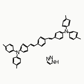 Cc1ccc(N(c2ccc(C)cc2)c2ccc(C=Cc3ccc(C=Cc4ccc(N(c5ccc(C)cc5)c5ccc(C)cc5)cc4)cc3)cc2)cc1.c1c[nH]nn1